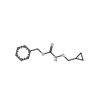 O=C(NOCC1CC1)OCc1ccccc1